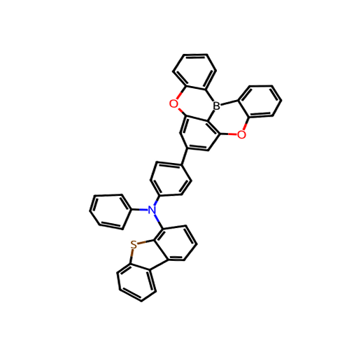 c1ccc(N(c2ccc(-c3cc4c5c(c3)Oc3ccccc3B5c3ccccc3O4)cc2)c2cccc3c2sc2ccccc23)cc1